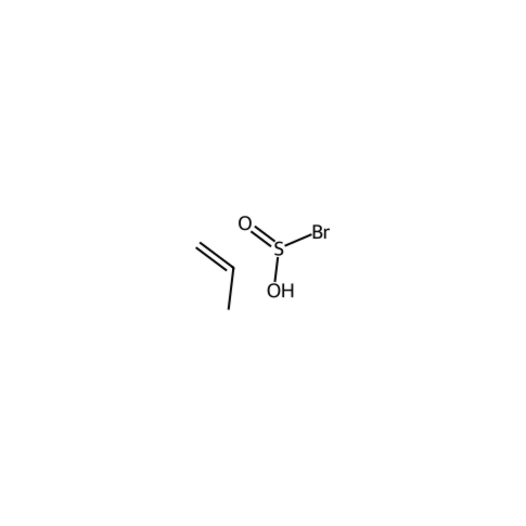 C=CC.O=S(O)Br